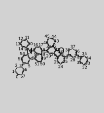 C1=CCC(c2ccc(N(c3ccccc3)c3ccc(-c4cc5c6cccc(C7=CC(c8ccccc8)=CCC7)c6oc5c5ccccc45)c4ccccc34)cc2)C=C1